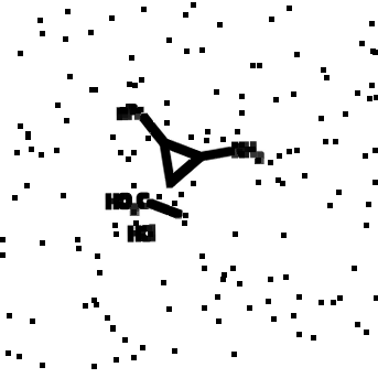 CC(=O)O.CCCC1CC1N.Cl